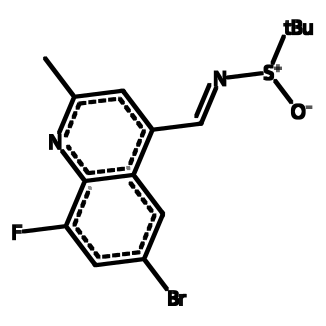 Cc1cc(C=N[S+]([O-])C(C)(C)C)c2cc(Br)cc(F)c2n1